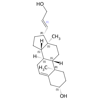 C[C@]12CC[C@H]3[C@@H](CC=C4C[C@@H](O)CC[C@@]43C)[C@@H]1CC[C@@H]2/C=C/CO